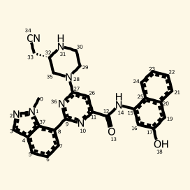 Cn1ncc2cccc(-c3nc(C(=O)Nc4cc(O)cc5ccccc45)cc(N4CCN[C@@H](CC#N)C4)n3)c21